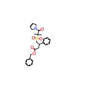 CC(C)(C(=O)N1CC=CC1)S(=O)(=O)CC(CC(=O)OCc1ccccc1)c1ccccc1